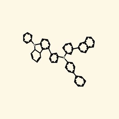 C1=CC2c3c(-c4cccc(N(c5ccc(-c6ccccc6)cc5)c5cccc(-c6ccc7ccccc7c6)c5)c4)cccc3N(c3ccccc3)C2C=C1